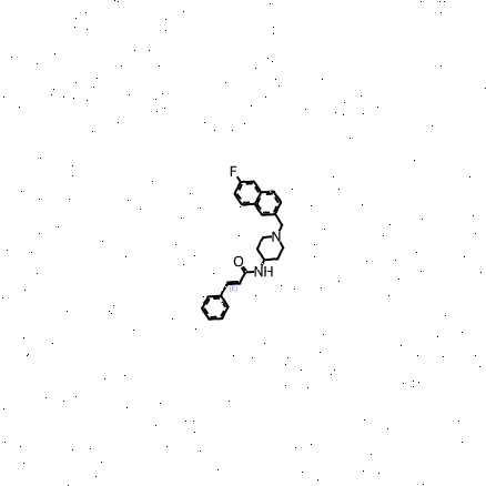 O=C(/C=C/c1ccccc1)NC1CCN(Cc2ccc3cc(F)ccc3c2)CC1